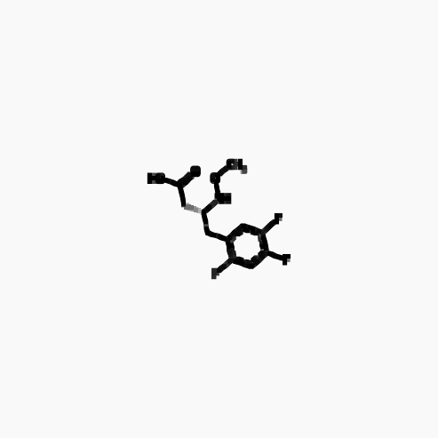 CON[C@@H](CC(=O)O)Cc1cc(F)c(F)cc1F